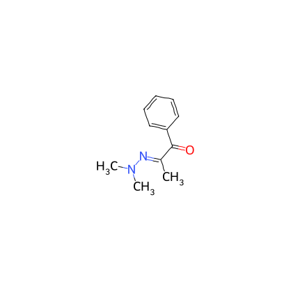 CC(=NN(C)C)C(=O)c1ccccc1